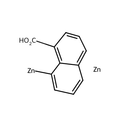 O=C(O)c1cccc2ccc[c]([Zn])c12.[Zn]